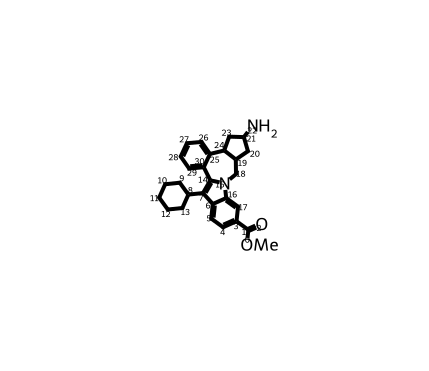 COC(=O)c1ccc2c(C3CCCCC3)c3n(c2c1)CC1CC(N)CC1c1ccccc1-3